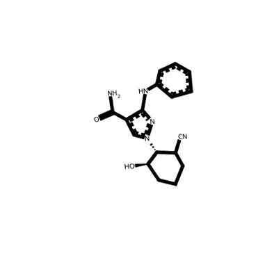 N#CC1CCC[C@@H](O)[C@@H]1n1cc(C(N)=O)c(Nc2ccccc2)n1